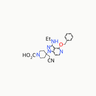 CCNc1nn(C2(CC#N)CCN(C(=O)O)CC2)c2ccnc(OCc3ccccc3)c12